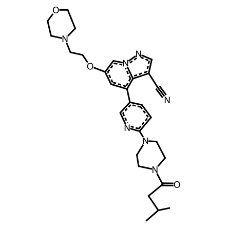 CC(C)CC(=O)N1CCN(c2ccc(-c3cc(OCCN4CCOCC4)cn4ncc(C#N)c34)cn2)CC1